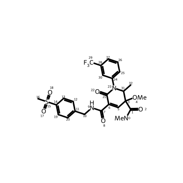 CNC(=O)C1(OC)C=C(C(=O)NCc2ccc(S(C)(=O)=O)cc2)C(=O)N(c2cccc(C(F)(F)F)c2)C1C